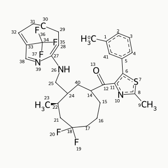 Cc1cccc(-c2sc(C)nc2C(=O)C2CCCC(F)(F)C[C@@H](C)C(CNC3=C/CCC/C=C(C(F)(F)F)/C=N\3)C2)c1